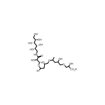 CCC(CC(O)COC(C)CC(O)COCC(O)C(=O)O)OCC(O)C(=O)NC[C@H](O)[C@@H](O)[C@H](O)[C@H](O)CO